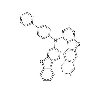 C1=NCCc2cc3c(cc21)sc1cccc(N(c2ccc(-c4ccccc4)cc2)c2ccc4c(c2)oc2ccccc24)c13